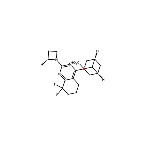 C[C@H]1CCN1c1nc(N2C[C@H]3C[C@@H](C2)C3CC(=O)O)c2c(n1)C(F)(F)CCC2